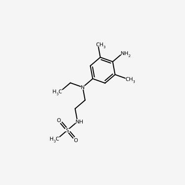 CCN(CCNS(C)(=O)=O)c1cc(C)c(N)c(C)c1